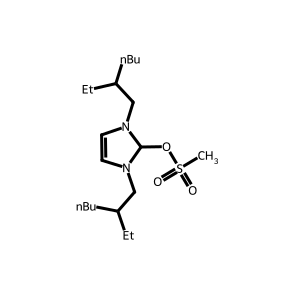 CCCCC(CC)CN1C=CN(CC(CC)CCCC)C1OS(C)(=O)=O